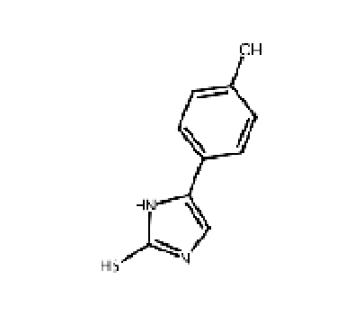 Oc1ccc(-c2cnc(S)[nH]2)cc1